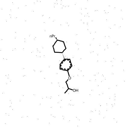 CCC[C@H]1CC[C@H](c2ccc(OCC(C)O)cc2)CC1